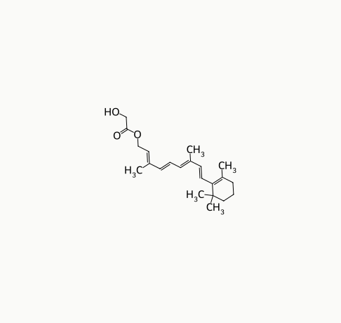 CC(C=CC1=C(C)CCCC1(C)C)=CC=CC(C)=CCOC(=O)CO